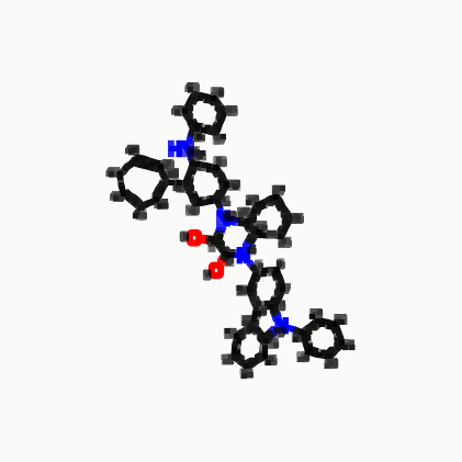 O=c1c(=O)n(-c2ccc3c(c2)c2ccccc2n3-c2ccccc2)c2ccccc2n1-c1ccc(Nc2ccccc2)c(C2=CC=CCC#C2)c1